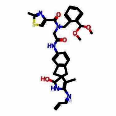 C=C/C=N\C1=C(C)C2(Cc3ccc(NC(=O)CN(Cc4ccccc4C(OC)OC)C(=O)c4csc(C)n4)cc3C2)C(O)N1